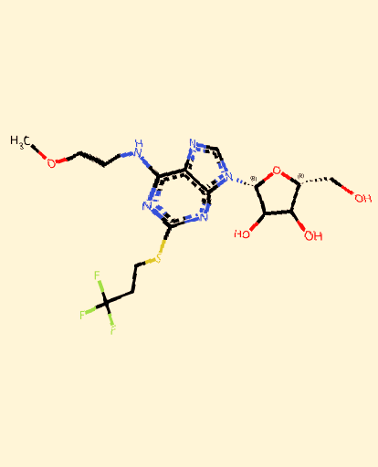 COCCNc1nc(SCCC(F)(F)F)nc2c1ncn2[C@@H]1O[C@H](CO)C(O)C1O